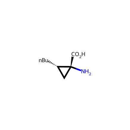 CCCC[C@H]1C[C@]1(N)C(=O)O